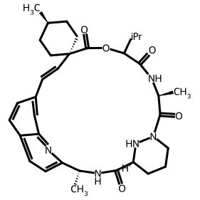 CC(C)C1OC(=O)[C@]2(/C=C/c3ccc4ccc(nc4c3)[C@@H](C)NC(=O)[C@@H]3CCCN(N3)C(=O)[C@H](C)NC1=O)CC[C@H](C)CC2